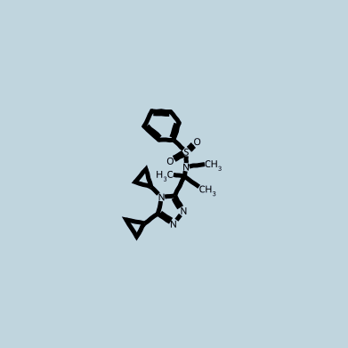 CN(C(C)(C)c1nnc(C2CC2)n1C1CC1)S(=O)(=O)c1ccccc1